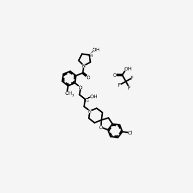 Cc1cccc(C(=O)N2CC[C@H](O)C2)c1OC[C@@H](O)CN1CCC2(CC1)Cc1cc(Cl)ccc1O2.O=C(O)C(F)(F)F